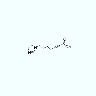 O=C(O)C#CCCCCn1ccnc1